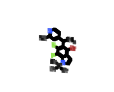 CC(c1ccnc(C#N)c1)c1c(F)c(F)c2c(ccn2[Si](C(C)C)(C(C)C)C(C)C)c1Br